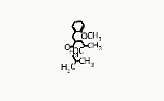 COc1ccccc1CC(CC(C)C)C(=O)OCC(C)C